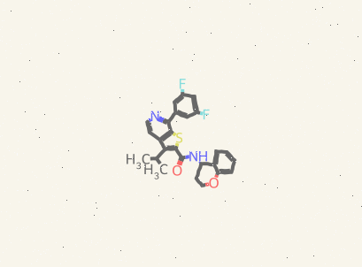 CC(C)c1c(C(=O)N[C@H]2CCOc3ccccc32)sc2c(-c3cc(F)cc(F)c3)nccc12